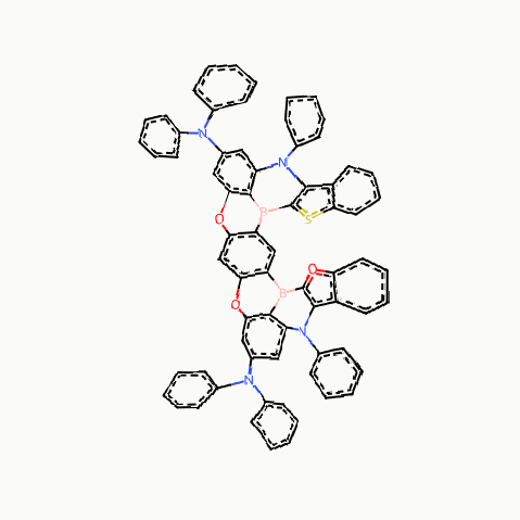 c1ccc(N(c2ccccc2)c2cc3c4c(c2)N(c2ccccc2)c2c(oc5ccccc25)B4c2cc4c(cc2O3)Oc2cc(N(c3ccccc3)c3ccccc3)cc3c2B4c2sc4ccccc4c2N3c2ccccc2)cc1